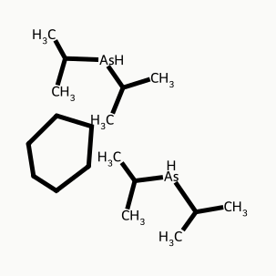 C1CCCCC1.CC(C)[AsH]C(C)C.CC(C)[AsH]C(C)C